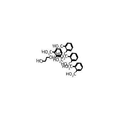 O=C(O)c1ccccc1C(=O)O.O=C(O)c1ccccc1C(=O)O.O=C(O)c1ccccc1C(=O)O.O=C(O)c1ccccc1C(=O)O.OCCO